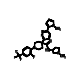 CN1CC[C@H](NC(=O)C2(c3ccc(-c4cccn4C)nn3)CCN(c3ccc(C(F)(F)F)cc3F)CC2)C1